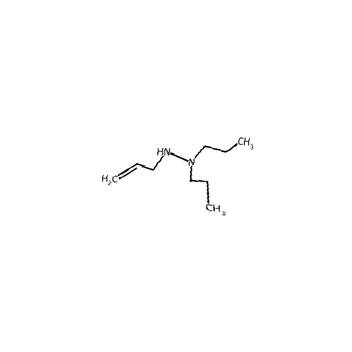 C=CCNN(CCC)CCC